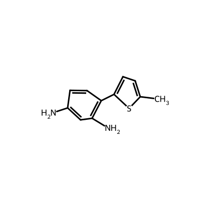 Cc1ccc(-c2ccc(N)cc2N)s1